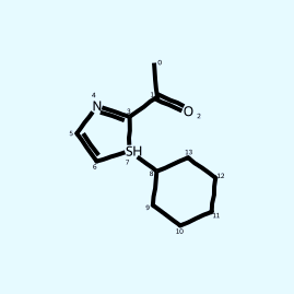 CC(=O)C1=NC=C[SH]1C1CCCCC1